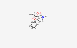 C=CCC1(O)CN(C)CCC1(O)c1ccccc1